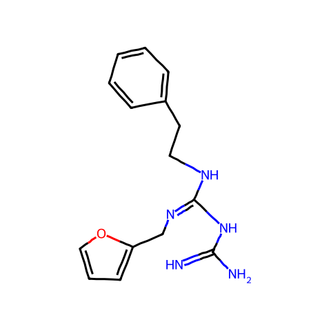 N=C(N)NC(=NCc1ccco1)NCCc1ccccc1